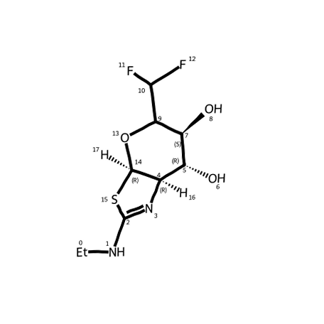 CCNC1=N[C@@H]2[C@@H](O)[C@H](O)C(C(F)F)O[C@@H]2S1